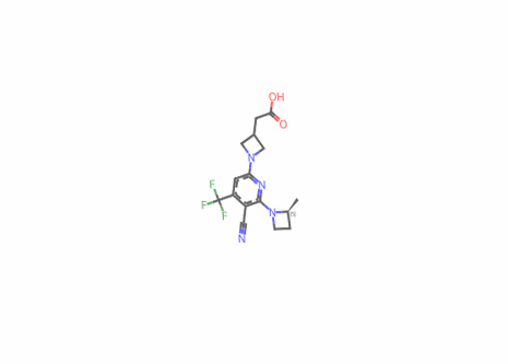 C[C@H]1CCN1c1nc(N2CC(CC(=O)O)C2)cc(C(F)(F)F)c1C#N